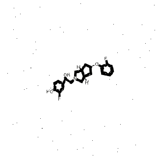 Oc1ccc(C(O)CN2C[C@H]3C[C@H](Oc4ccccc4F)C[C@H]3C2)cc1F